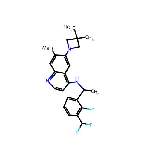 COc1cc2nccc(NC(C)c3cccc(C(F)F)c3F)c2cc1N1CC(C)(C(=O)O)C1